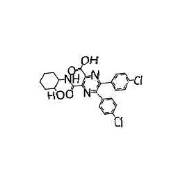 O=C(O)c1nc(-c2ccc(Cl)cc2)c(-c2ccc(Cl)cc2)nc1C(=O)NC1CCCCC1O